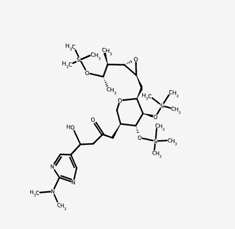 C[C@@H]([C@@H]1O[C@H]1C[C@@H]1OC[C@H](CC(=O)CC(O)c2cnc(N(C)C)nc2)[C@@H](O[Si](C)(C)C)[C@@H]1O[Si](C)(C)C)[C@H](C)O[Si](C)(C)C